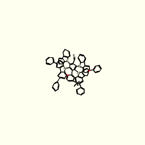 CC(C)(C)c1cccc(-c2c(-n3c4c(c5cc(-c6ccccc6)ccc53)CC(c3ccccc3)C=C4)c(-n3c4ccccc4c4ccccc43)c(C#N)c(-n3c4c(c5ccccc53)CCC=C4)c2-n2c3ccc(-c4ccccc4)cc3c3cc(-c4ccccc4)ccc32)c1